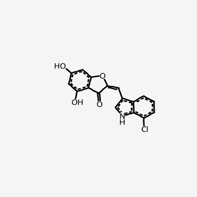 O=C1C(=Cc2c[nH]c3c(Cl)cccc23)Oc2cc(O)cc(O)c21